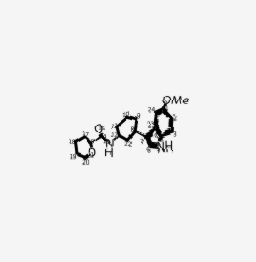 COc1ccc2[nH]cc([C@@H]3CCC[C@H](NC(=O)[C@@H]4CCCCO4)C3)c2c1